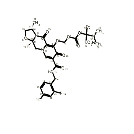 CCC(OC(=O)OCOc1c2n(cc(C(=O)NCc3ccc(F)cc3F)c1=O)C[C@H]1OC[C@H](C)N1C2=O)(C(=O)O)N(C)C